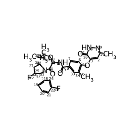 Cc1cc(Oc2ccc(C(=O)N[C@H](C)C(=O)N3[C@H](c4cccc(F)c4)[C@@H](F)C[C@@H]3C(C)(C)C#N)cc2C)c(=O)[nH]n1